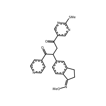 CO/N=C1/CCc2cc(C(CC(=O)c3cnc(SC)nc3)C(=O)c3ccncc3)ccc21